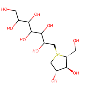 OCC(O)C(O)C(O)C(O)C(O)C[S@+]1C[C@@H](O)[C@H](O)[C@H]1CO